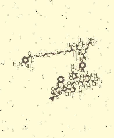 CC[C@H](C)[C@@H]([C@@H](CC(=O)N1CCC[C@H]1[C@H](OC)[C@@H](C)C(=O)N[C@@H](Cc1ccccc1)C(=O)NS(=O)(=O)C1CC1)OC)N(C)C(=O)[C@@H](NC(=O)[C@H](C(C)C)N(C)C(=O)OCc1ccc(NC(=O)[C@H](CCCNC(N)=O)NC(=O)[C@@H](NC(=O)CCOCCOCCOCCOCCNC(=O)c2ccc(N)c(N)c2)C(C)C)cc1)C(C)C